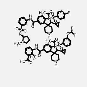 CC(=O)[N+]1(S(=O)(=O)c2ccc(F)cc2)c2ccc(C(=O)Nc3cccc(S(=O)(=O)N=C4CCCN4C)c3)cc2C2(CCNCC2)C1C1CC1.CC(=O)[N+]1(S(=O)(=O)c2cccc(OC(F)F)c2)c2ccc(C(=O)Nc3cccc(C(=O)O)c3C)cc2C2(CCNCC2)C1C1CC1